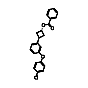 O=C(O[C@H]1C[C@H](c2cccc(Oc3ccc(Cl)cc3)c2)C1)c1ccccc1